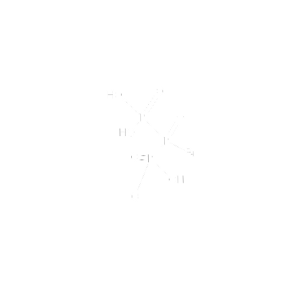 O=P(O)(O)P(=O)(Br)P(=O)(O)O